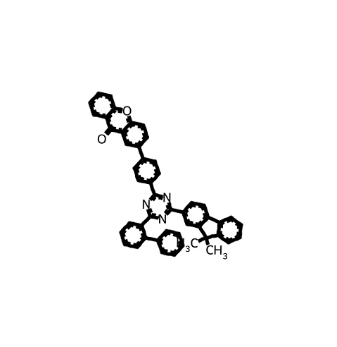 CC1(C)c2ccccc2-c2ccc(-c3nc(-c4ccc(-c5ccc6oc7ccccc7c(=O)c6c5)cc4)nc(-c4ccccc4-c4ccccc4)n3)cc21